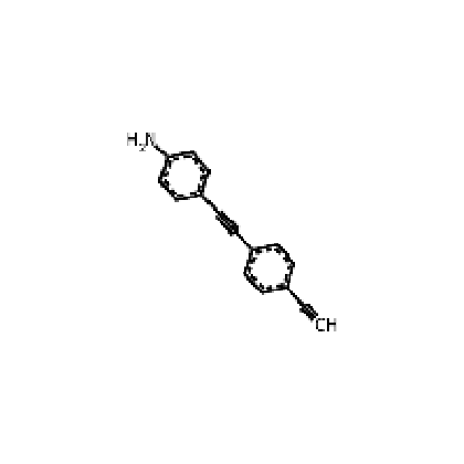 C#Cc1ccc(C#Cc2ccc(N)cc2)cc1